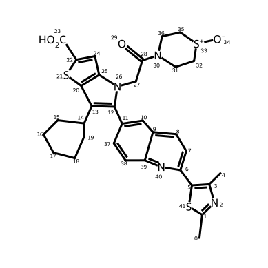 Cc1nc(C)c(-c2ccc3cc(-c4c(C5CCCCC5)c5sc(C(=O)O)cc5n4CC(=O)N4CC[S+]([O-])CC4)ccc3n2)s1